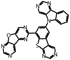 c1ccc2c(c1)c1ncncc1n2-c1cc(-c2ncc3oc4ncncc4c3n2)c2sc3ncncc3c2c1